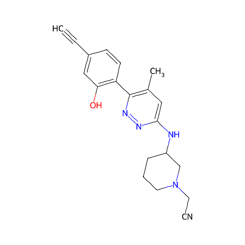 C#Cc1ccc(-c2nnc(NC3CCCN(CC#N)C3)cc2C)c(O)c1